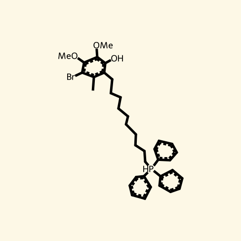 COc1c(O)c(CCCCCCCCCC[PH](c2ccccc2)(c2ccccc2)c2ccccc2)c(C)c(Br)c1OC